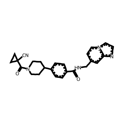 N#CC1(C(=O)N2CCC(c3ccc(C(=O)NCc4ccn5ccnc5c4)cc3)CC2)CC1